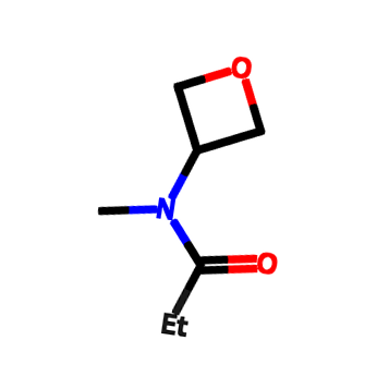 CCC(=O)N(C)C1COC1